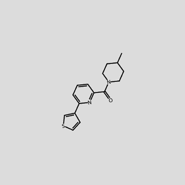 CC1CCN(C(=O)c2cccc(-c3ccsc3)n2)CC1